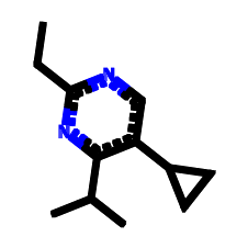 CCc1ncc(C2CC2)c(C(C)C)n1